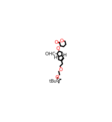 CC(C)(C)[Si](C)(C)OCCOCCC1=C[C@@H]2C[C@H](OC3CCCOC3=O)[C@@H](C=O)[C@@H]2C1